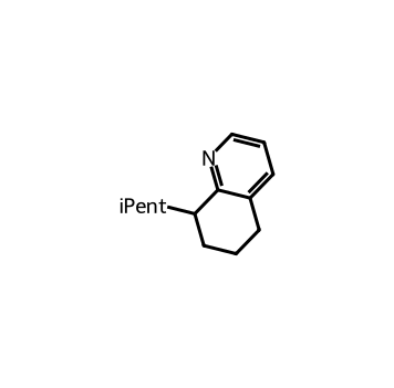 CCCC(C)C1CCCc2cccnc21